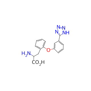 NC(Cc1ccccc1Oc1cccc(-c2nnn[nH]2)c1)C(=O)O